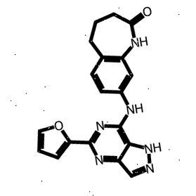 O=C1CCCc2ccc(Nc3nc(-c4ccco4)nc4cn[nH]c34)cc2N1